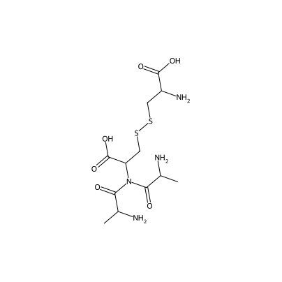 CC(N)C(=O)N(C(=O)C(C)N)C(CSSCC(N)C(=O)O)C(=O)O